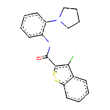 O=C(Nc1ccccc1N1CCCC1)c1sc2ccccc2c1Cl